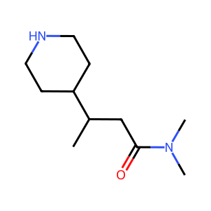 CC(CC(=O)N(C)C)C1CCNCC1